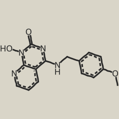 COc1ccc(CNc2nc(=O)n(O)c3ncccc23)cc1